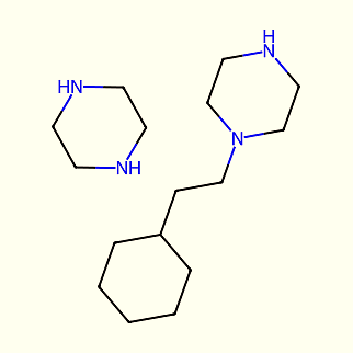 C1CCC(CCN2CCNCC2)CC1.C1CNCCN1